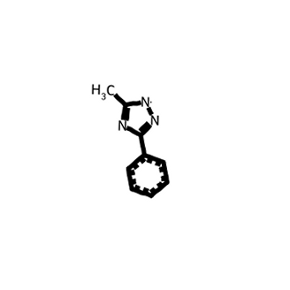 CC1=NC(c2ccccc2)=N[N]1